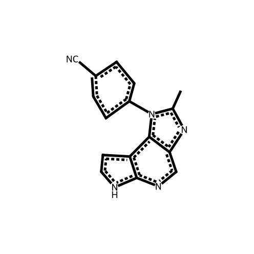 Cc1nc2cnc3[nH]ccc3c2n1-c1ccc(C#N)cc1